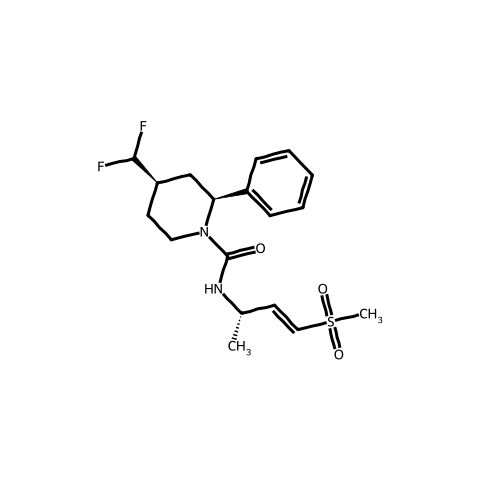 C[C@@H](/C=C/S(C)(=O)=O)NC(=O)N1CC[C@@H](C(F)F)C[C@H]1c1ccccc1